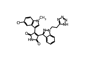 Cn1cc(C2=C(c3nn(CCc4nnn[nH]4)c4ccccc34)C(=O)NC2=O)c2cc(Cl)ccc21